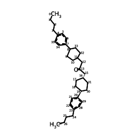 CCCCc1ccc(C2CCC(CC(=O)C[C@H]3CC[C@H](c4ccc(CCCC)cc4)CC3)CC2)cc1